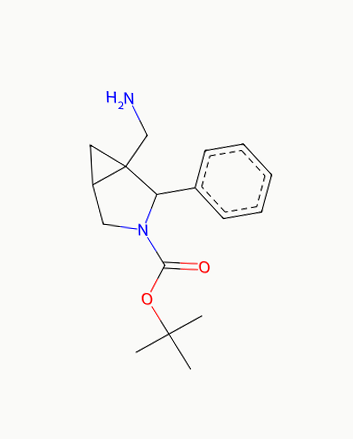 CC(C)(C)OC(=O)N1CC2CC2(CN)C1c1ccccc1